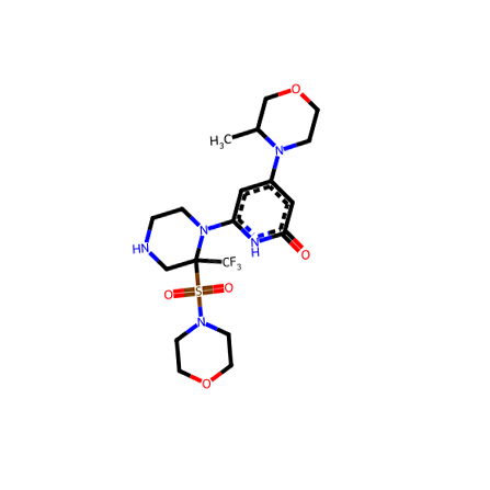 CC1COCCN1c1cc(N2CCNCC2(C(F)(F)F)S(=O)(=O)N2CCOCC2)[nH]c(=O)c1